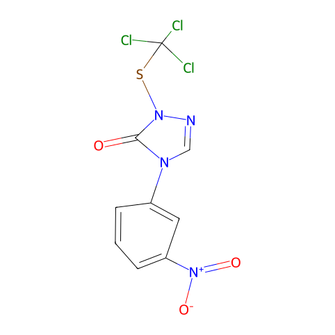 O=c1n(-c2cccc([N+](=O)[O-])c2)cnn1SC(Cl)(Cl)Cl